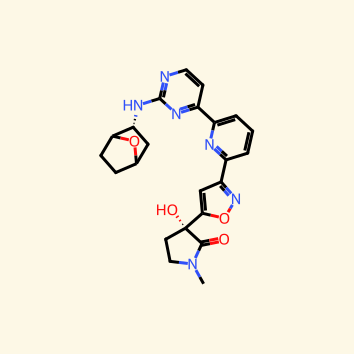 CN1CC[C@@](O)(c2cc(-c3cccc(-c4ccnc(N[C@@H]5CC6CCC5O6)n4)n3)no2)C1=O